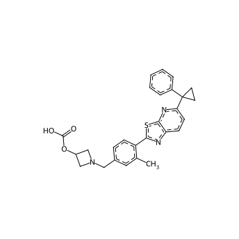 Cc1cc(CN2CC(OC(=O)O)C2)ccc1-c1nc2ccc(C3(c4ccccc4)CC3)nc2s1